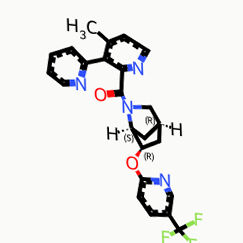 Cc1ccnc(C(=O)N2C[C@H]3C[C@@H](Oc4ccc(C(F)(F)F)cn4)[C@@H]2C3)c1-c1ccccn1